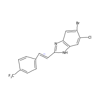 FC(F)(F)c1ccc(/C=C/c2nc3cc(Br)c(Cl)cc3[nH]2)cc1